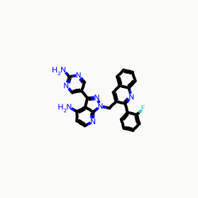 Nc1ncc(-c2nn(Cc3cc4ccccc4nc3-c3ccccc3F)c3nccc(N)c23)cn1